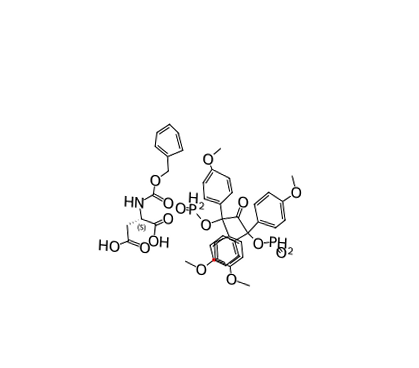 COc1ccc(C(O[PH2]=O)(C(=O)C(O[PH2]=O)(c2ccc(OC)cc2)c2ccc(OC)cc2)c2ccc(OC)cc2)cc1.O=C(O)C[C@H](NC(=O)OCc1ccccc1)C(=O)O